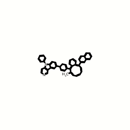 Cc1cccccc(-c2ccc3ccccc3c2)c2ccccc2c1C1=CCC(c2ccc3c(c2)c2cnccc2n3-c2ccccc2)C=C1